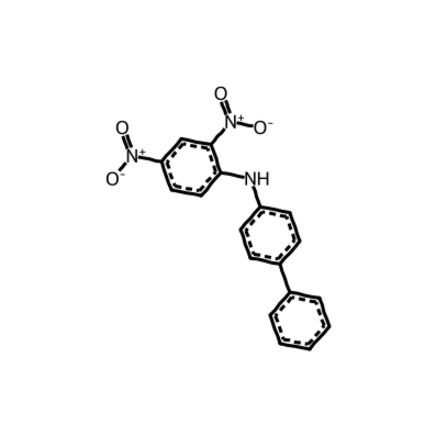 O=[N+]([O-])c1ccc(Nc2ccc(-c3ccccc3)cc2)c([N+](=O)[O-])c1